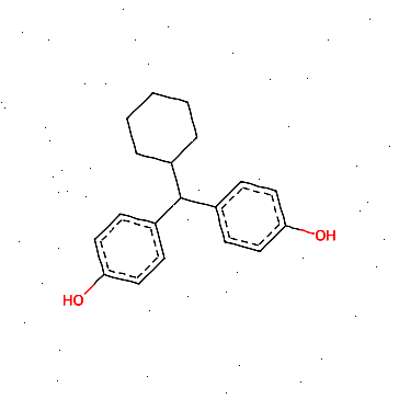 Oc1ccc(C(c2ccc(O)cc2)C2CCCCC2)cc1